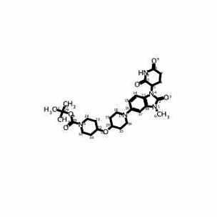 Cn1c(=O)n(C2CCC(=O)NC2=O)c2ccc(N3CCC(OC4CCN(C(=O)OC(C)(C)C)CC4)CC3)cc21